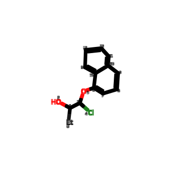 CCC(O)C(Cl)Oc1cccc2ccccc12